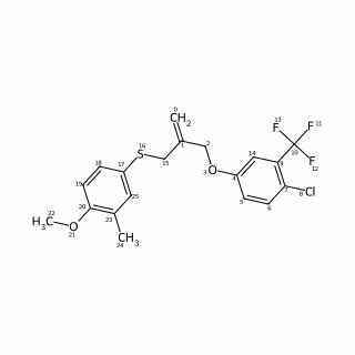 C=C(COc1ccc(Cl)c(C(F)(F)F)c1)CSc1ccc(OC)c(C)c1